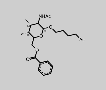 CC(=O)CCCCO[C@@H]1OC(COC(=O)c2ccccc2)[C@H](C)[C@H](C)C1NC(C)=O